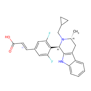 C[C@@H]1Cc2c([nH]c3ccccc23)[C@@H](c2c(F)cc(/C=C/C(=O)O)cc2F)N1CC1CC1